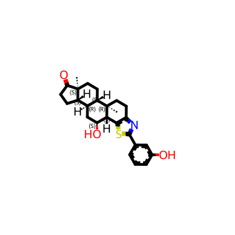 C[C@]12CCc3nc(-c4cccc(O)c4)sc3[C@@H]1[C@@H](O)C[C@@H]1[C@@H]2CC[C@]2(C)C(=O)CC[C@@H]12